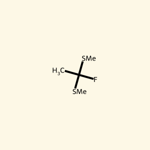 CSC(C)(F)SC